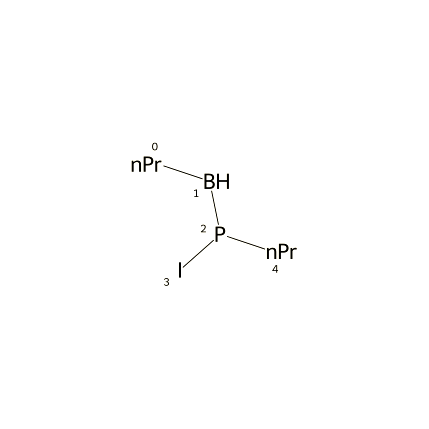 CCCBP(I)CCC